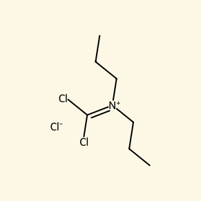 CCC[N+](CCC)=C(Cl)Cl.[Cl-]